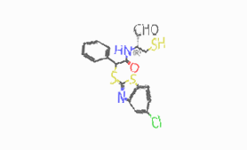 O=C[C@H](CS)NC(=O)C(Sc1nc2cc(Cl)ccc2s1)c1ccccc1